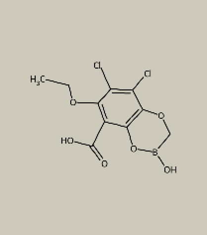 CCOc1c(Cl)c(Cl)c2c(c1C(=O)O)OB(O)CO2